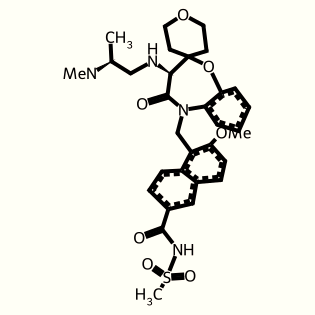 CN[C@@H](C)CN[C@@H]1C(=O)N(Cc2c(OC)ccc3cc(C(=O)NS(C)(=O)=O)ccc23)c2ccccc2OC12CCOCC2